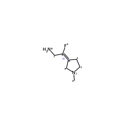 CN1CC/C(=C(\F)CN)C1